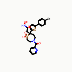 CCc1ccc(-c2ccc(C3(CC(=O)NO)CCN(C(=O)c4ccccn4)CCS3(=O)=O)s2)cc1